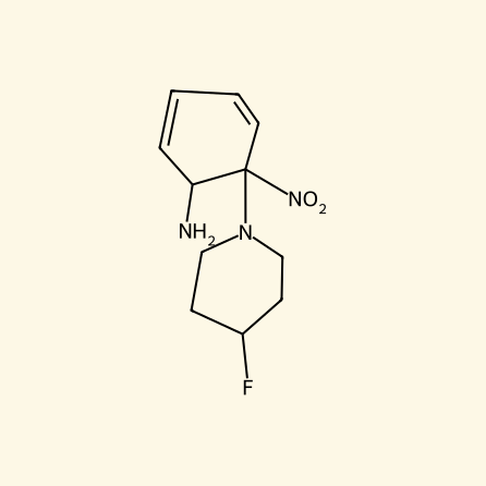 NC1C=CC=CC1(N1CCC(F)CC1)[N+](=O)[O-]